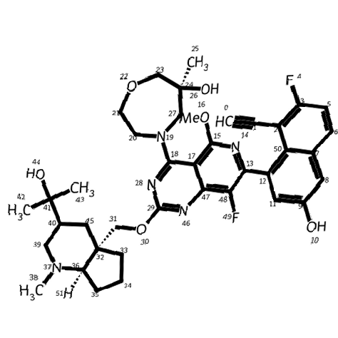 C#Cc1c(F)ccc2cc(O)cc(-c3nc(OC)c4c(N5CCOC[C@@](C)(O)C5)nc(OC[C@]56CCC[C@H]5N(C)CC(C(C)(C)O)C6)nc4c3F)c12